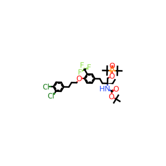 CC[C@@](CCc1ccc(OCCCc2ccc(Cl)c(Cl)c2)c(C(F)(F)F)c1)(COP(=O)(C(C)(C)C)C(C)(C)C)NC(=O)OC(C)(C)C